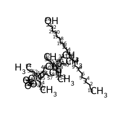 CCCCCCCCCCCCCCCCCCCCCCCCO.CCCC[N+](CCCC)(CCCC)CCCC.CCCC[N+](CCCC)(CCCC)CCCC.O=S(=O)([O-])[O-]